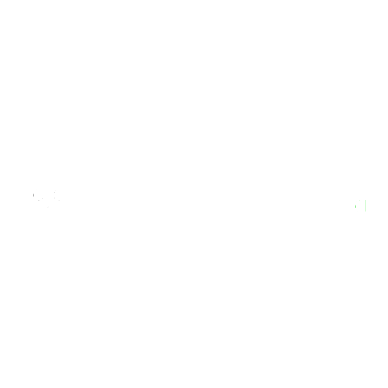 O=C(O)C=CCCCCCCl